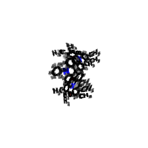 Cc1cc(C)c(N(c2cccc(C3(c4cccc(N(c5c(C)cc(C)c(C)c5C)c5c(C)cc(C)c(C)c5C)c4)c4ccccc4N(c4ccccc4)c4ccccc43)c2)c2c(C)cc(C)c(C)c2C)c(C)c1C